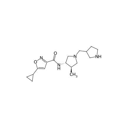 C[C@@H]1CN(CC2CCNC2)C[C@H]1NC(=O)c1cc(C2CC2)on1